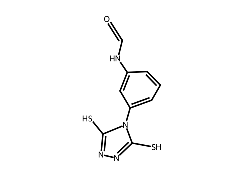 O=CNc1cccc(-n2c(S)nnc2S)c1